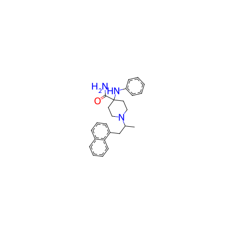 CC(Cc1cccc2ccccc12)N1CCC(Nc2ccccc2)(C(N)=O)CC1